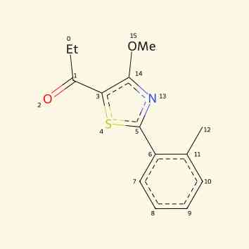 CCC(=O)c1sc(-c2ccccc2C)nc1OC